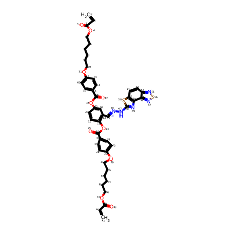 C=CC(=O)OCCCCCCOc1ccc(C(=O)Oc2ccc(OC(=O)c3ccc(OCCCCCCOC(=O)C=C)cc3)c(/C=N/Nc3nc4c(ccc5nsnc54)s3)c2)cc1